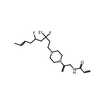 C=CC(=O)NCC(=C)N1CCN(CCC(F)(CC)CC(F)CC=CC)CC1